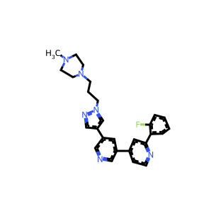 CN1CCN(CCCn2cc(-c3cncc(-c4ccnc(-c5ccccc5F)c4)c3)cn2)CC1